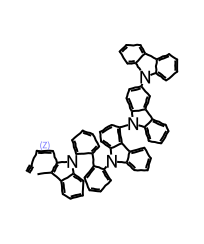 C#C/C=C\c1c(C)c2ccccc2n1-c1ccccc1-c1ccccc1-n1c2ccccc2c2c(-n3c4ccccc4c4cc(-n5c6ccccc6c6ccccc65)ccc43)cccc21